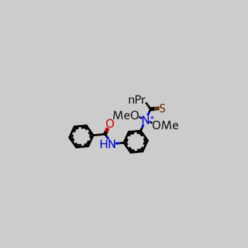 CCCC(=S)[N+](OC)(OC)c1cccc(NC(=O)c2ccccc2)c1